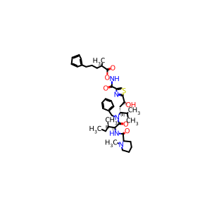 CC[C@@H](C)[C@H](NC(=O)C1CCCCN1C)C(=O)N(Cc1ccccc1)[C@H](C[C@@H](O)c1nc(C(=O)NOC(=O)C(C)CCCc2ccccc2)cs1)C(C)C